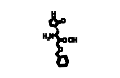 Cl.N[C@@H](C[C@@H]1CCNC1=O)C(=O)COCc1ccccc1